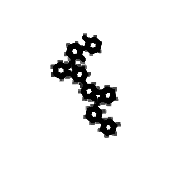 Cc1ccccc1-c1cccc(-n2c3ccccc3c3cc(-c4ccc5c(c4)c4ccccc4n5-c4cccc(-c5ccccc5)c4)ccc32)c1C